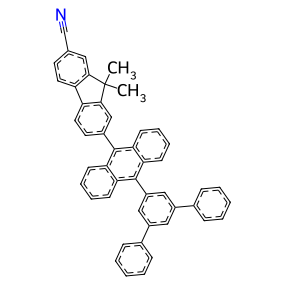 CC1(C)c2cc(C#N)ccc2-c2ccc(-c3c4ccccc4c(-c4cc(-c5ccccc5)cc(-c5ccccc5)c4)c4ccccc34)cc21